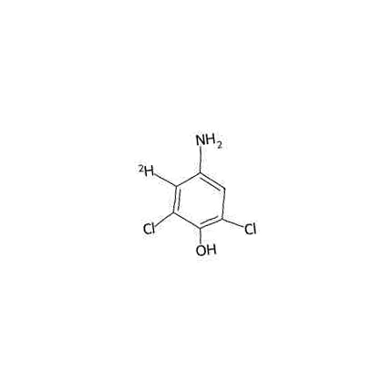 [2H]c1c(N)cc(Cl)c(O)c1Cl